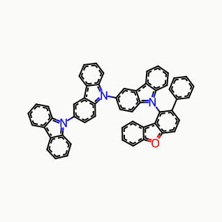 c1ccc(-c2ccc3oc4ccccc4c3c2-n2c3ccccc3c3cc(-n4c5ccccc5c5cc(-n6c7ccccc7c7ccccc76)ccc54)ccc32)cc1